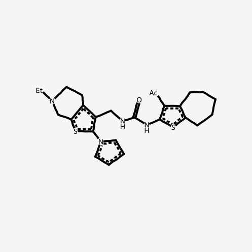 CCN1CCc2c(sc(-n3cccc3)c2CNC(=O)Nc2sc3c(c2C(C)=O)CCCCC3)C1